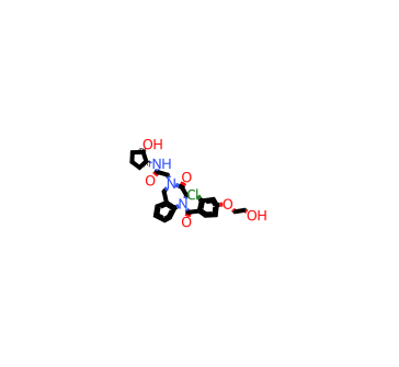 O=C(CN1Cc2ccccc2N(C(=O)c2ccc(OCCO)cc2Cl)CC1=O)N[C@@H]1CCC[C@H]1O